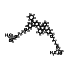 CCC1(COCCCCCOCc2ccc(-c3c4ccccc4c(-c4ccc5c(c4)c4cc(COCCCCCOCC6(CC)COC6)ccc4n5-c4ccccc4)c4ccccc34)cc2)COC1